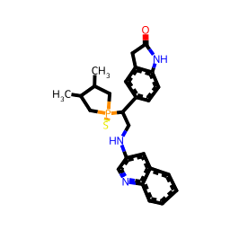 CC1CP(=S)(C(CNc2cnc3ccccc3c2)c2ccc3c(c2)CC(=O)N3)CC1C